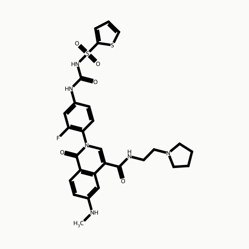 CNc1ccc2c(=O)n(-c3ccc(NC(=O)NS(=O)(=O)c4cccs4)cc3F)cc(C(=O)NCCN3CCCC3)c2c1